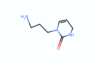 NCCCN1C=CCNC1=O